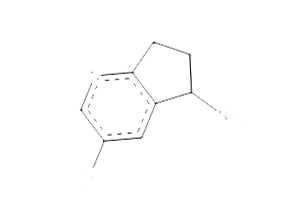 NC1CCc2ncc(S)cc21